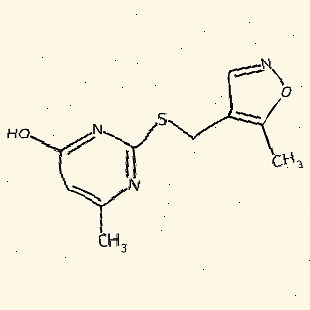 Cc1cc(O)nc(SCc2cnoc2C)n1